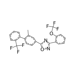 Cc1cc(-c2nc(-c3ccccc3OC(F)(F)F)no2)ccc1-c1ccccc1C(F)(F)F